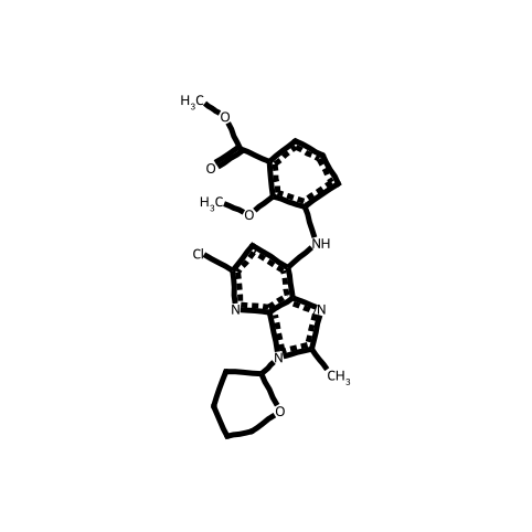 COC(=O)c1cccc(Nc2cc(Cl)nc3c2nc(C)n3C2CCCCO2)c1OC